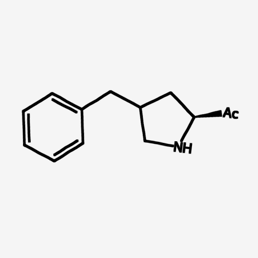 CC(=O)[C@@H]1CC(Cc2ccccc2)CN1